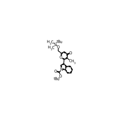 Cc1c(-c2cn(C(=O)OC(C)(C)C)c3ccccc23)oc(CO[Si](C)(C)C(C)(C)C)cc1=O